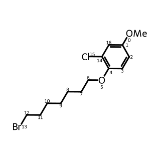 COc1ccc(OCCCCCCCBr)c(Cl)c1